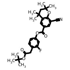 CC(C)(C)OC(=O)Cc1ccc(OC(=O)c2cc(C#N)c3c(c2)C(C)(C)CC(C)(C)O3)cc1F